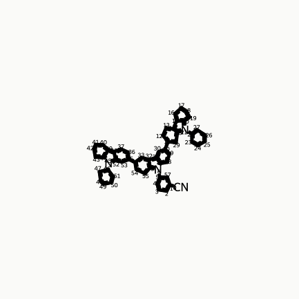 N#Cc1cccc(-n2c3ccc(-c4ccc5c6ccccc6n(-c6ccccc6)c5c4)cc3c3cc(-c4ccc5c6ccccc6n(-c6ccccc6)c5c4)ccc32)c1